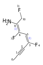 CC#C/C(F)=C\C(F)=C(\N)CF